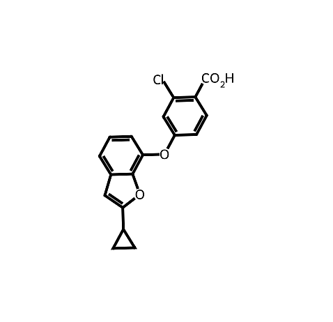 O=C(O)c1ccc(Oc2cccc3cc(C4CC4)oc23)cc1Cl